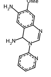 COc1cc2c(cc1N)C(N)N(c1ccccn1)C=N2